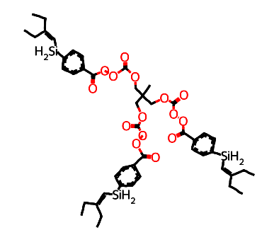 CCC(=C[SiH2]c1ccc(C(=O)OOC(=O)OCC(C)(COC(=O)OOC(=O)c2ccc([SiH2]C=C(CC)CC)cc2)COC(=O)OOC(=O)c2ccc([SiH2]C=C(CC)CC)cc2)cc1)CC